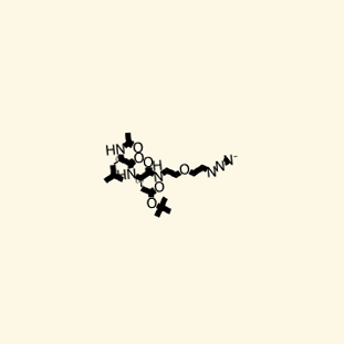 CC(=O)N[C@@H](CC(C)C)C(=O)N[C@@H](CC(=O)OC(C)(C)C)C(=O)NCCOCCN=[N+]=[N-]